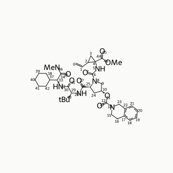 C=CC1CC1(NC(=O)N1C[C@@H](OC(=O)N2CCc3ccccc3C2)C[C@H]1C(=O)N[C@H](C(=O)N[C@H](C(=O)NC)C1CCCCC1)C(C)(C)C)C(=O)OC